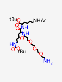 CC(=O)NCCCCC(NC(=O)C(CCCCNC(=O)OC(C)(C)C)NC(=O)CCOCCOCCOCCN)C(=O)OC(C)(C)C